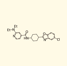 CCN(CC)c1cc(C(=O)NC2CCC(c3nc4cc(Cl)ccc4o3)CC2)ccn1